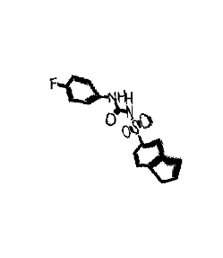 O=C(Nc1ccc(F)cc1)NS(=O)(=O)c1ccc2c(c1)C=CC2